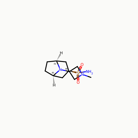 CN1CC(N2[C@@H]3CC[C@H]2C[C@@H](S(N)(=O)=O)C3)C1